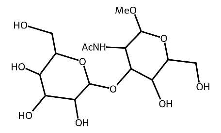 COC1OC(CO)C(O)C(OC2OC(CO)C(O)C(O)C2O)C1NC(C)=O